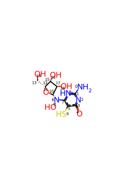 Nc1nc(=O)c(S)c(N(O)[C@@H]2O[C@H](CO)[C@@H](O)[C@H]2O)[nH]1